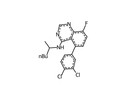 CCCCC(C)Nc1ncnc2c(F)ccc(-c3ccc(Cl)c(Cl)c3)c12